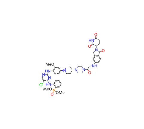 COc1cc(N2CCC(N3CCN(C(=O)CNc4ccc5c(c4)CN(C4CCC(=O)NC4=O)C5=O)CC3)CC2)ccc1Nc1ncc(Cl)c(Nc2ccccc2P(=O)(OC)OC)n1